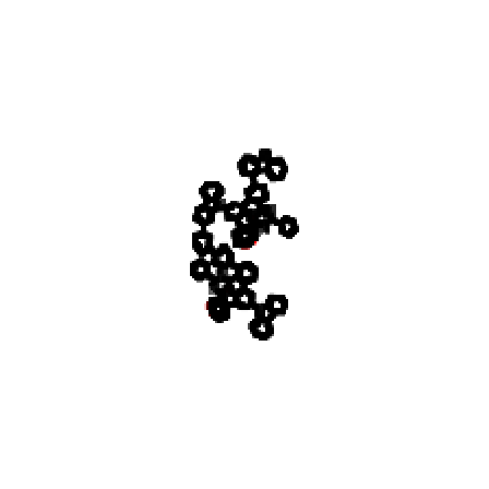 c1ccc(-c2nc(-c3ccccc3)nc(-c3ccc(-c4cccc5oc6ccccc6c45)cc3-c3cc(-n4c5ccccc5c5ccc(-c6cccc(-c7ccc(-c8cccc(-c9cc(-n%10c%11ccccc%11c%11ccccc%11%10)cc%10c9sc9ccccc9%10)c8-c8nc(-c9ccccc9)nc(-c9ccccc9)n8)cc7)c6)cc54)cc4c3oc3ccccc34)n2)cc1